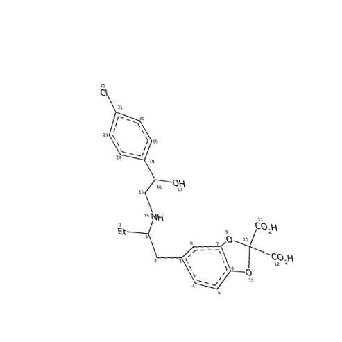 CCC(Cc1ccc2c(c1)OC(C(=O)O)(C(=O)O)O2)NCC(O)c1ccc(Cl)cc1